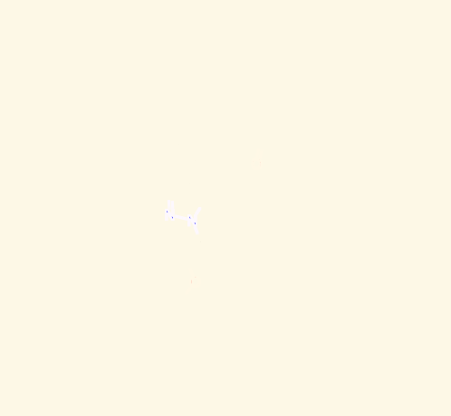 COCCn1cc(C2=CC(CC(C)=O)CC=C2)cn1